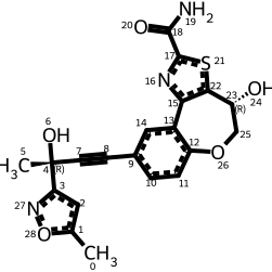 Cc1cc([C@](C)(O)C#Cc2ccc3c(c2)-c2nc(C(N)=O)sc2[C@H](O)CO3)no1